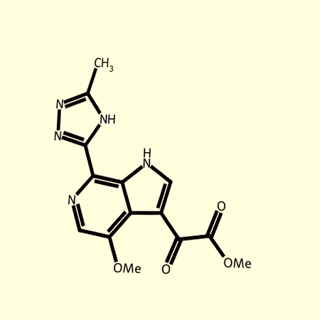 COC(=O)C(=O)c1c[nH]c2c(-c3nnc(C)[nH]3)ncc(OC)c12